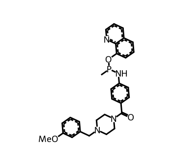 COc1cccc(CN2CCN(C(=O)c3ccc(NP(C)Oc4cccc5cccnc45)cc3)CC2)c1